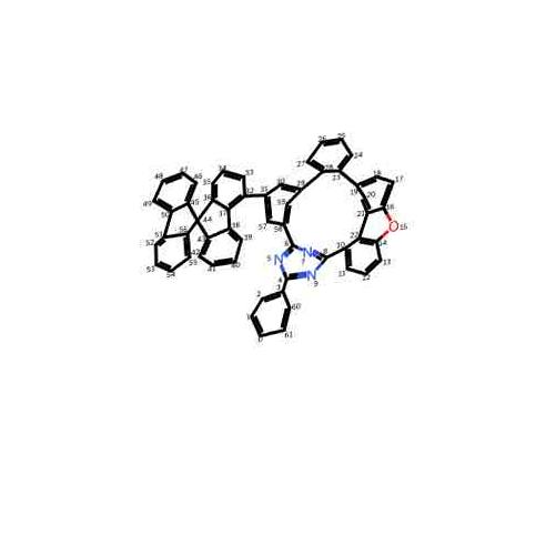 c1ccc(-c2nc3nc(n2)c2cccc4oc5ccc(cc5c42)c2ccccc2c2cc(-c4cccc5c4-c4ccccc4C54c5ccccc5-c5ccccc54)cc3c2)cc1